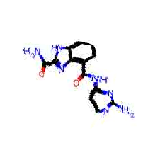 NC(=O)c1nc2c(C(=O)Nc3ccnc(N)n3)cccc2[nH]1